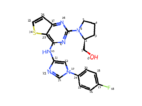 OC[C@@H]1CCCN1c1nc(Nc2cn(-c3ccc(F)cc3)cn2)c2sccc2n1